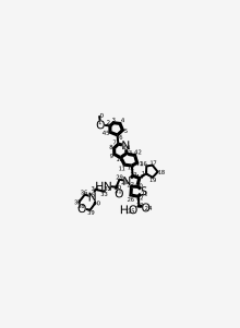 COc1cccc(-c2ccc3cc(-c4c(C5CCCC5)c5sc(C(=O)O)cc5n4CC(=O)NCCN4CCOCC4)ccc3n2)c1